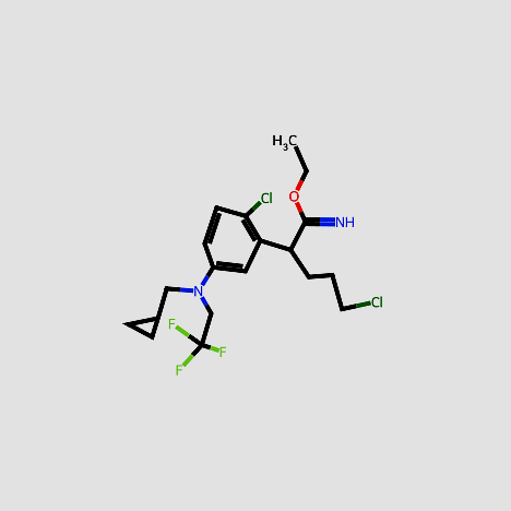 CCOC(=N)C(CCCCl)c1cc(N(CC2CC2)CC(F)(F)F)ccc1Cl